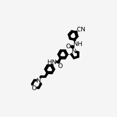 N#CC1=CC(NC(=O)N2CCC[C@@H]2c2cccc(C(=O)Nc3ccc(CCN4CCOCC4)cc3)c2)CC=C1